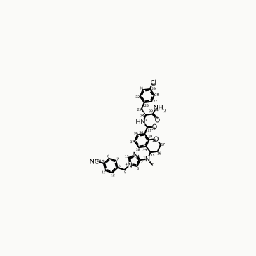 CN(c1cn(Cc2ccc(C#N)cc2)cn1)C1CCOc2c(C(=O)N[C@@H](Cc3ccc(Cl)cc3)C(N)=O)cccc21